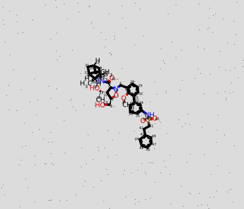 COc1c(CN2O[C@@H](CO)[C@H]([C@H](C)O)[C@H]2C(=O)N[C@H]2C[C@H]3C[C@@H]([C@@H]2C)C3(C)C)cccc1-c1cccc(NS(=O)(=O)CCc2ccccc2)c1